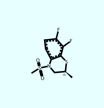 C[C@H]1CN(S(C)(=O)=O)c2ccc(F)c(F)c2S1